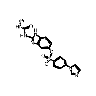 CC(C)NC(=O)Nc1nc2cc(OS(=O)(=O)c3ccc(-n4ccnc4)cc3)ccc2[nH]1